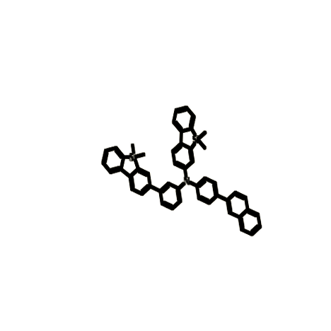 C[Si]1(C)c2ccccc2-c2ccc(-c3cccc(N(c4ccc(-c5ccc6ccccc6c5)cc4)c4ccc5c(c4)[Si](C)(C)c4ccccc4-5)c3)cc21